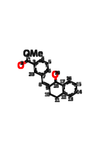 COC(=O)c1cccc(C=C2CCc3ccccc3C2=O)c1